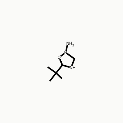 CC(C)(C)C1NCN(N)O1